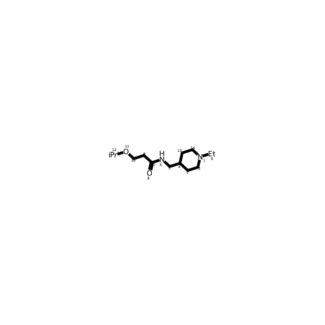 CCN1CCC(CNC(=O)CCOC(C)C)CC1